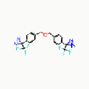 FC(F)(F)C1(c2ccc(COCc3ccc(C4(C(F)(F)F)N=N4)cc3)cc2)N=N1